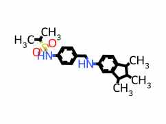 CC1c2ccc(NCc3ccc(NS(=O)(=O)C(C)C)cc3)cc2C(C)C1C